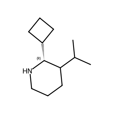 CC(C)C1CCCN[C@@H]1C1CCC1